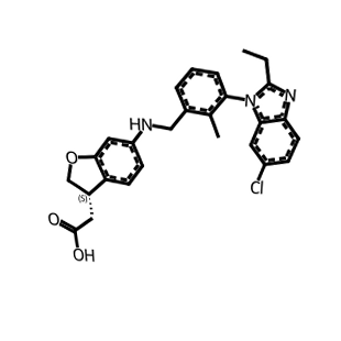 CCc1nc2ccc(Cl)cc2n1-c1cccc(CNc2ccc3c(c2)OC[C@H]3CC(=O)O)c1C